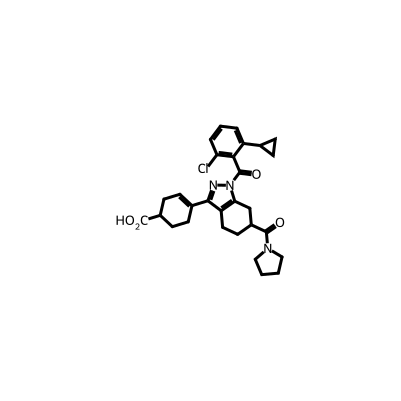 O=C(O)C1CC=C(c2nn(C(=O)c3c(Cl)cccc3C3CC3)c3c2CCC(C(=O)N2CCCC2)C3)CC1